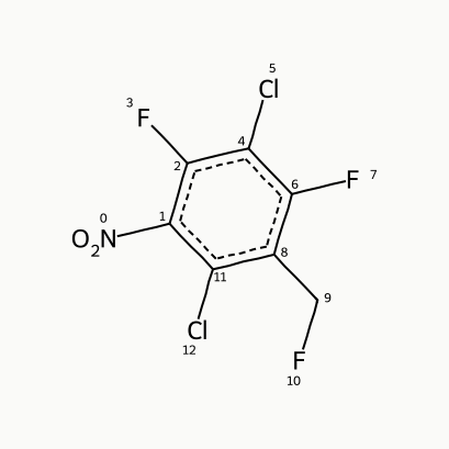 O=[N+]([O-])c1c(F)c(Cl)c(F)c(CF)c1Cl